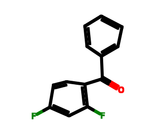 O=C(c1ccccc1)c1ccc(F)cc1F